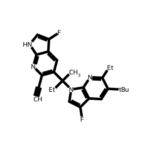 C#Cc1nc2[nH]cc(F)c2cc1C(C)(CC)n1cc(F)c2cc(C(C)(C)C)c(CC)nc21